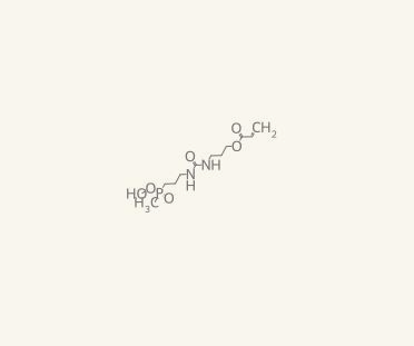 C=CC(=O)OCCCNC(=O)NCCCP(C)(=O)OO